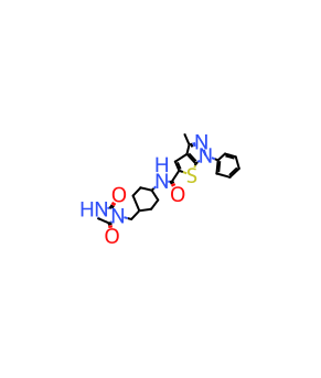 Cc1nn(-c2ccccc2)c2sc(C(=O)NC3CCC(CN4C(=O)CNC4=O)CC3)cc12